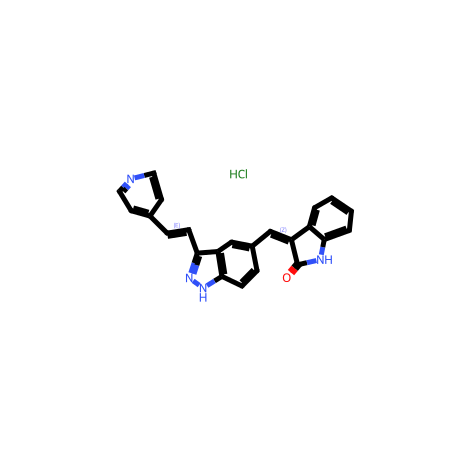 Cl.O=C1Nc2ccccc2/C1=C/c1ccc2[nH]nc(/C=C/c3ccncc3)c2c1